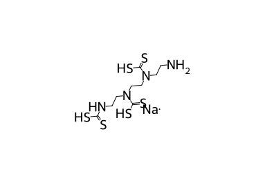 NCCN(CCN(CCNC(=S)S)C(=S)S)C(=S)S.[Na]